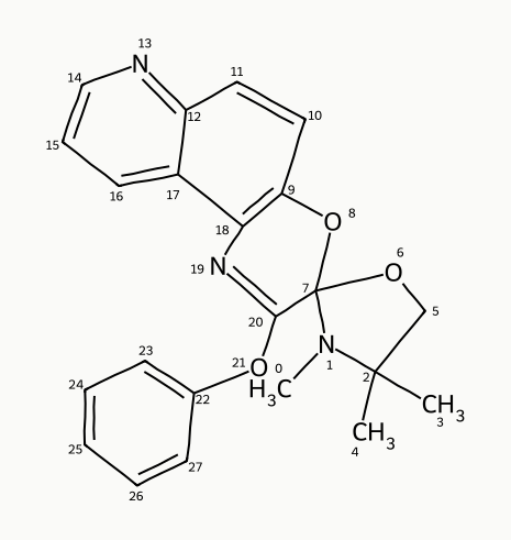 CN1C(C)(C)COC12Oc1ccc3ncccc3c1N=C2Oc1ccccc1